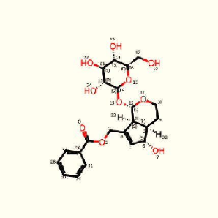 O=C(OCC1=C[C@@H](O)[C@@H]2CCO[C@@H](O[C@@H]3O[C@H](CO)[C@@H](O)[C@H](O)[C@H]3O)[C@H]12)c1ccccc1